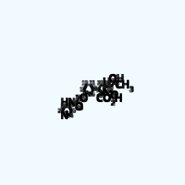 C[C@@H](O)[C@H]1C(=O)N2C(C(=O)O)=C(c3cccc(OCC(=O)Nc4ccncc4)c3)C[C@H]12